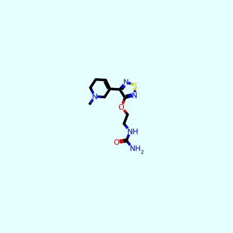 CN1CCC=C(c2nsnc2OCCNC(N)=O)C1